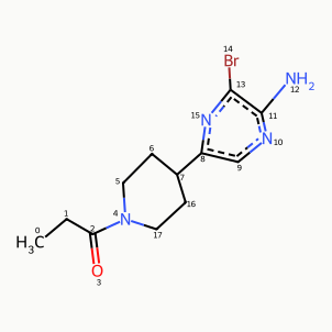 CCC(=O)N1CCC(c2cnc(N)c(Br)n2)CC1